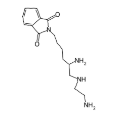 NCCNCC(N)CCCCN1C(=O)c2ccccc2C1=O